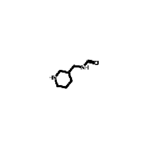 O=[C]NCC1CCCNC1